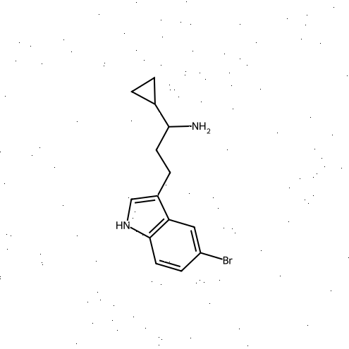 NC(CCc1c[nH]c2ccc(Br)cc12)C1CC1